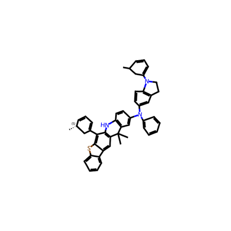 CC1C=CC=C(N2CCc3cc(N(c4ccccc4)c4ccc5c(c4)C(C)(C)c4cc6c(sc7ccccc76)c(C6=CC=C[C@@H](C)C6)c4N5)ccc32)C1